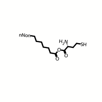 CCCCCCCCCCCCCCCC(=O)OC(=O)[C@H](N)CCS